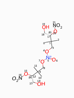 CC(C)(CO[N+](=O)OCC(C)(C)[C@H](CO)O[N+](=O)[O-])[C@H](CO)O[N+](=O)[O-]